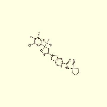 N#CC1(NC(=O)c2cc3c(cn2)CN(C2=NOC(c4cc(Cl)c(F)c(Cl)c4)(C(F)(F)F)C2)C3)CCCC1